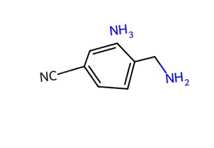 N.N#Cc1ccc(CN)cc1